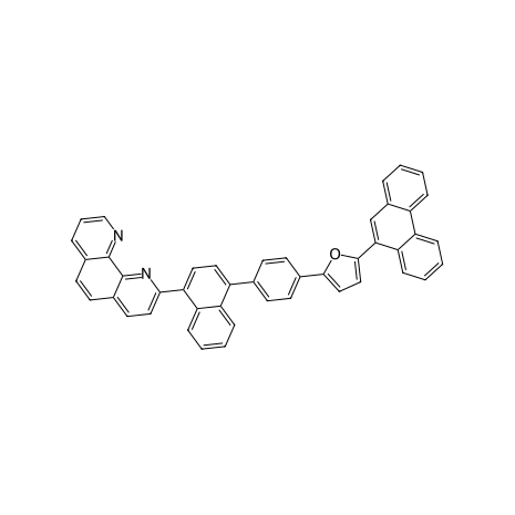 c1ccc2c(c1)cc(-c1ccc(-c3ccc(-c4ccc(-c5ccc6ccc7cccnc7c6n5)c5ccccc45)cc3)o1)c1ccccc12